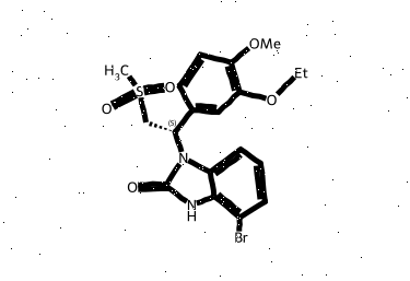 CCOc1cc([C@@H](CS(C)(=O)=O)n2c(=O)[nH]c3c(Br)cccc32)ccc1OC